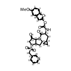 COc1ccc2oc(OC(=O)NC(CC3CC3)C(=O)N3CCC4C3C(=O)CN4S(=O)(=O)Cc3cccnc3)cc2c1